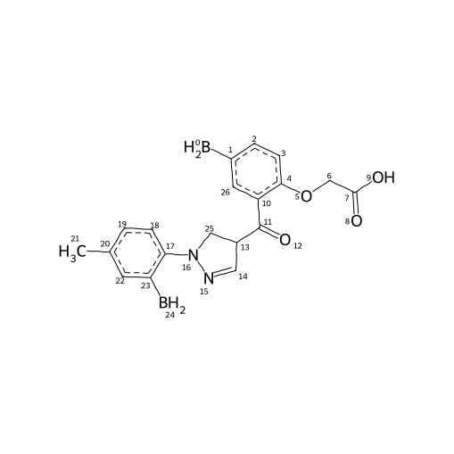 Bc1ccc(OCC(=O)O)c(C(=O)C2C=NN(c3ccc(C)cc3B)C2)c1